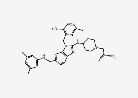 Cc1cc(C)cc(NCc2ccc3nc(NC4CCN(CC(N)=O)CC4)n(Cc4nc(C)ccc4O)c3c2)c1